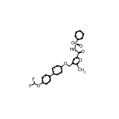 Cc1oc(C(=O)NS(=O)(=O)c2ccccc2)cc1COc1ccc(-c2ccc(OC(F)F)cc2)cc1